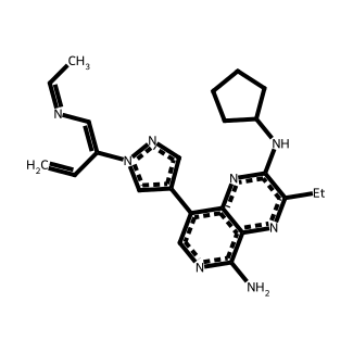 C=C/C(=C\N=C/C)n1cc(-c2cnc(N)c3nc(CC)c(NC4CCCC4)nc23)cn1